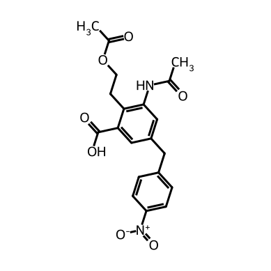 CC(=O)Nc1cc(Cc2ccc([N+](=O)[O-])cc2)cc(C(=O)O)c1CCOC(C)=O